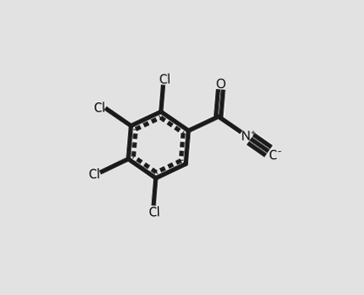 [C-]#[N+]C(=O)c1cc(Cl)c(Cl)c(Cl)c1Cl